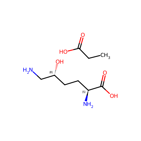 CCC(=O)O.NC[C@H](O)CC[C@H](N)C(=O)O